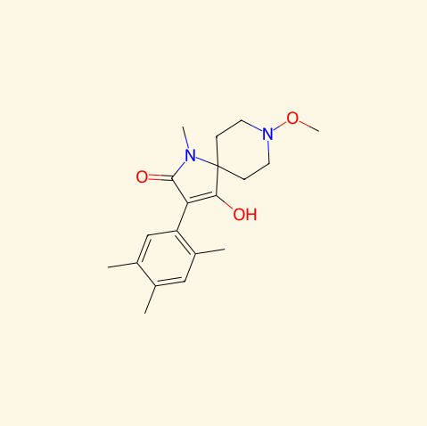 CON1CCC2(CC1)C(O)=C(c1cc(C)c(C)cc1C)C(=O)N2C